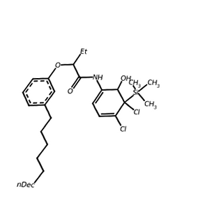 CCCCCCCCCCCCCCCc1cccc(OC(CC)C(=O)NC2=CC=C(Cl)C(Cl)([Si](C)(C)C)C2O)c1